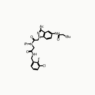 CC(=O)c1nn(CC(=O)N(CC(=O)NCc2cccc(Cl)c2F)C(C)C)c2ccc(NC(=O)CC(C)(C)C)cc12